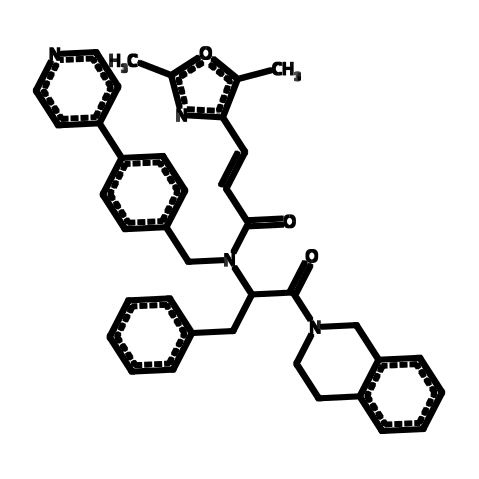 Cc1nc(C=CC(=O)N(Cc2ccc(-c3ccncc3)cc2)C(Cc2ccccc2)C(=O)N2CCc3ccccc3C2)c(C)o1